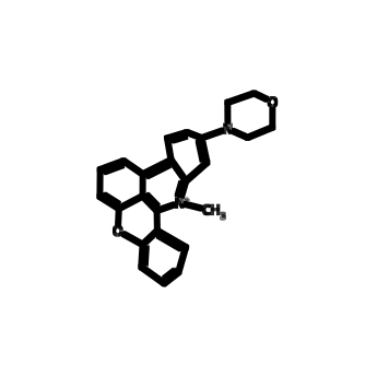 C[n+]1c2c3c(cccc3c3ccc(N4CCOCC4)cc31)Oc1ccccc1-2